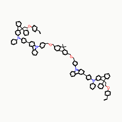 C=Cc1ccc(OCCC2(c3ccccc3)c3ccccc3-c3ccc(N(c4ccccc4)c4ccc(-c5ccc6c(c5)c5ccccc5n6-c5ccc(COCc6ccc7c(c6)C(C)(C)c6cc(COCc8ccc(-n9c%10ccccc%10c%10cc(-c%11ccc(N(c%12ccccc%12)c%12ccc%13c(c%12)C(CCOc%12ccc(C=C)cc%12)(c%12ccccc%12)c%12ccccc%12-%13)cc%11)ccc%109)cc8)ccc6-7)cc5)cc4)cc32)cc1